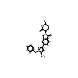 O=C1CCC(N2Cc3cc(-c4cc(C(F)(F)F)n(Cc5ccccc5)n4)ccc3C2=O)C(=O)N1